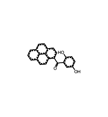 O=C(c1cc(O)ccc1O)c1ccc2ccc3cccc4ccc1c2c34